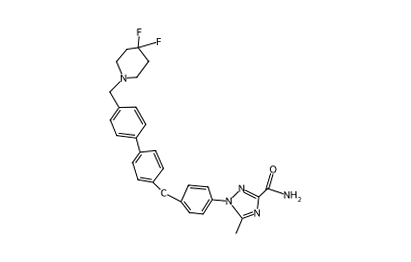 Cc1nc(C(N)=O)nn1-c1ccc(Cc2ccc(-c3ccc(CN4CCC(F)(F)CC4)cc3)cc2)cc1